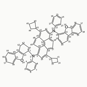 C1=C(N(c2ccccc2)c2cc(C3CCC3)c3ccc4c(N(c5ccccc5)c5cccc6c5oc5ccccc56)cc(C5CCC5)c5ccc2c3c54)c2oc3ccccc3c2CC1